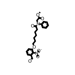 COC(=O)CN(C(=O)CCCCCCOc1cccc(C=O)c1[N+](=O)[O-])c1ccccc1